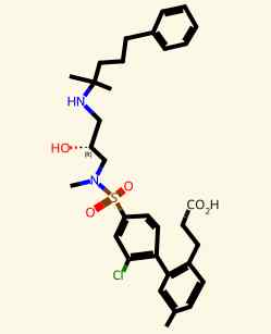 Cc1ccc(CCC(=O)O)c(-c2ccc(S(=O)(=O)N(C)C[C@H](O)CNC(C)(C)CCCc3ccccc3)cc2Cl)c1